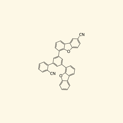 N#Cc1ccc2oc3c(-c4cc(-c5ccccc5C#N)cc(-c5cccc6c5oc5ccccc56)c4)cccc3c2c1